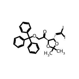 CC1(C)O[C@@H](C=C(I)I)[C@H](C(=O)COC(c2ccccc2)(c2ccccc2)c2ccccc2)O1